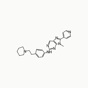 Cn1c(-c2ccncc2)nc2cnc(Nc3ccc(CCN4CCCCC4)cc3)nc21